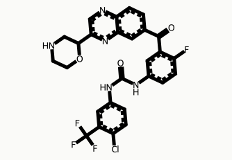 O=C(Nc1ccc(F)c(C(=O)c2ccc3ncc(C4CNCCO4)nc3c2)c1)Nc1ccc(Cl)c(C(F)(F)F)c1